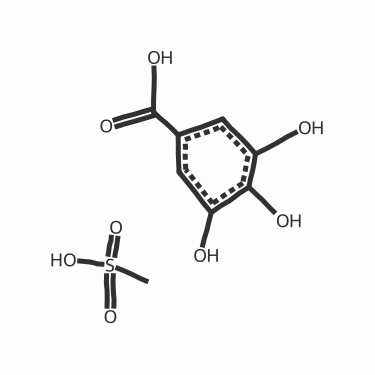 CS(=O)(=O)O.O=C(O)c1cc(O)c(O)c(O)c1